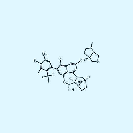 Cc1c(F)c(N)cc(-c2nc3c4c(nc(OC[C@@]56CCN(C)C5COC6)nc4c2F)N2C[C@H]4CC[C@H](N4)[C@H]2[C@H](C)O3)c1C(F)(F)F